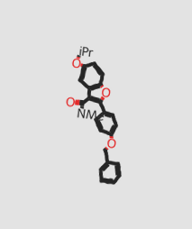 CNC(=O)c1c(-c2ccc(OCc3ccccc3)cc2)oc2ccc(OC(C)C)cc12